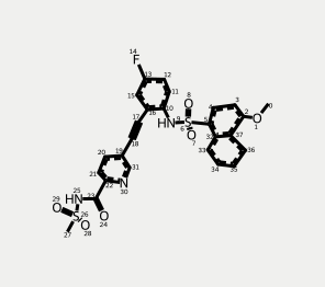 COc1ccc(S(=O)(=O)Nc2ccc(F)cc2C#Cc2ccc(C(=O)NS(C)(=O)=O)nc2)c2ccccc12